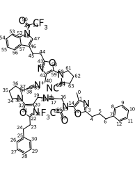 Cc1nc(CCCc2ccccc2)oc1N(CC#[N+]Cc1nc(CCc2ccccc2)oc1N1CCC[C@H]1C#[N+]Cc1nc(CCc2cn(C(=O)C(F)(F)F)c3ccccc23)oc1N1CCC[C@H]1C#N)C(=O)C(F)(F)F